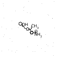 CCCC1(c2cccc(C(N)=O)c2)C2CC(CCCC3(O)CCCCC3)CC21